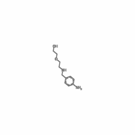 Nc1ccc(CNCCOCCO)cc1